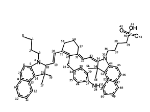 CCCCN1c2ccc3ccccc3c2C(C)(C)C1/C=C/C1=C(Sc2ccc(N)cc2)C(=C/C=C2/N(CCCCS(=O)(=O)O)c3ccc4ccccc4c3C2(C)C)/CCC1